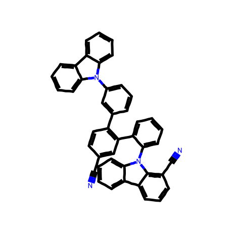 N#Cc1ccc(-c2cccc(-n3c4ccccc4c4ccccc43)c2)c(-c2ccccc2-n2c3ccccc3c3cccc(C#N)c32)c1